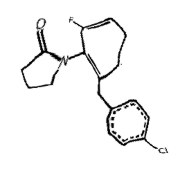 O=C1CCCN1C1=C(Cc2ccc(Cl)cc2)[CH]CC=C1F